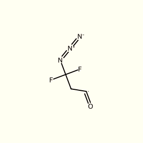 [N-]=[N+]=NC(F)(F)C[C]=O